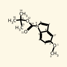 COc1ccc2c(c[c]n2C(=O)OC(C)(C)C)c1